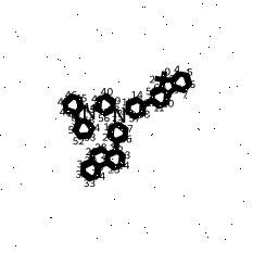 CC1(C)c2ccccc2-c2ccc(-c3ccc(N(c4ccc(-c5cccc6c5ccc5ccccc56)cc4)c4cccc(-n5c6ccccc6c6ccccc65)c4)cc3)cc21